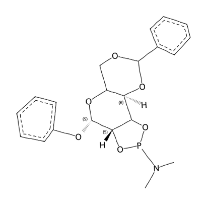 CN(C)P1OC2[C@@H]3OC(c4ccccc4)OCC3O[C@@H](Oc3ccccc3)[C@H]2O1